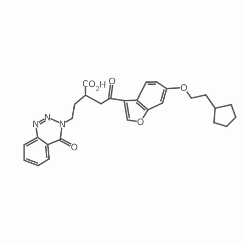 O=C(CC(CCn1nnc2ccccc2c1=O)C(=O)O)c1coc2cc(OCCC3CCCC3)ccc12